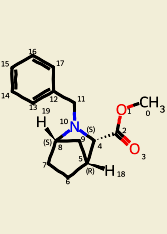 COC(=O)[C@@H]1[C@@H]2CC[C@@H](C2)N1Cc1ccccc1